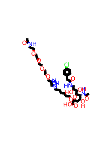 CC(=O)NCCOCCOCCOCCOCc1cn(CCCCCCO[C@]2(C(=O)O)C[C@H](O)[C@@H](NC(C)=O)[C@H]([C@H](O)[C@H](O)CNC(=O)Cc3ccc(Cl)cc3)O2)nn1